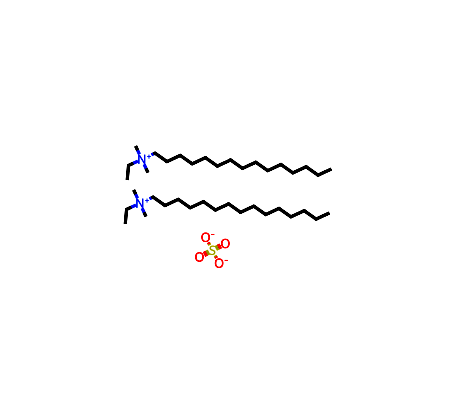 CCCCCCCCCCCCCCC[N+](C)(C)CC.CCCCCCCCCCCCCCC[N+](C)(C)CC.O=S(=O)([O-])[O-]